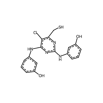 Oc1cccc(Nc2nc(CS)c(Cl)c(Nc3cccc(O)c3)n2)c1